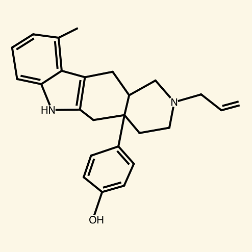 C=CCN1CCC2(c3ccc(O)cc3)Cc3[nH]c4cccc(C)c4c3CC2C1